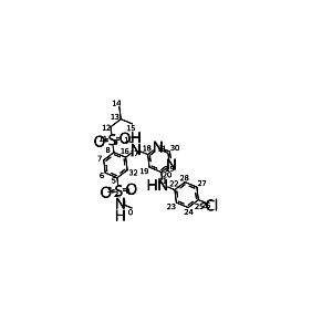 CNS(=O)(=O)c1ccc(S(=O)(=O)CC(C)C)c(Nc2cc(Nc3ccc(Cl)cc3)ncn2)c1